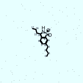 CCCCc1ccc2c(c1)S(=O)(=O)NC2CCC